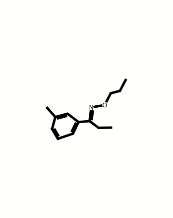 CCCON=C(CC)c1cc[c]c(C)c1